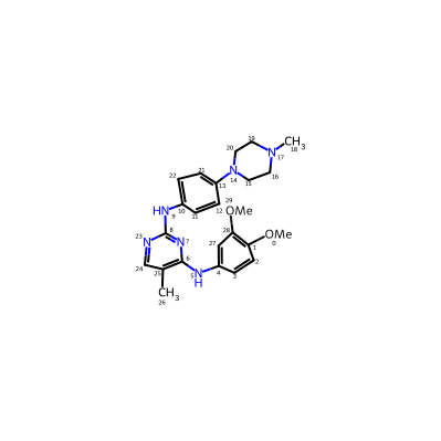 COc1ccc(Nc2nc(Nc3ccc(N4CCN(C)CC4)cc3)ncc2C)cc1OC